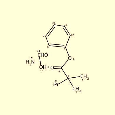 CC(C)C(C)(C)C(=O)Oc1ccccc1.N.O=CO